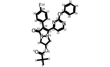 CC(C)(C)C(=O)OC1Cn2c(-c3ccnc(Oc4ccccc4)n3)c(-c3ccc(F)cc3)c(=O)n2C1